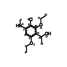 CCOc1cc(NC)c(Cl)c(OCC)c1C(C)O